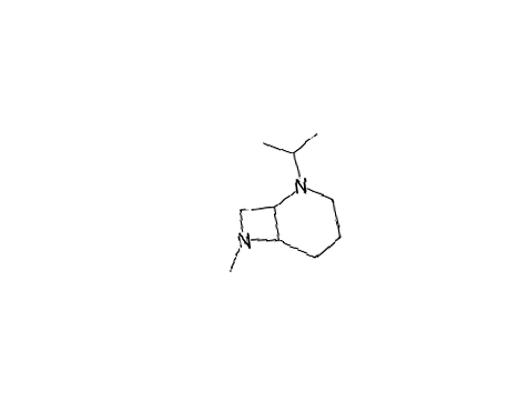 CC(C)N1CCCC2C1CN2C